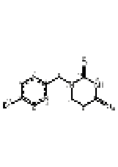 O=C1CCN(Cc2ncc(Br)cn2)C(=O)N1